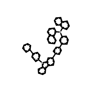 c1ccc(-c2ccc(-n3c4ccccc4c4ccc(-c5ccc(-c6cccc(N(c7cccc8ccccc78)c7cccc8ccccc78)c6)cc5)cc43)cc2)cc1